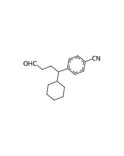 N#Cc1ccc(C(CCC=O)C2CCCCC2)cc1